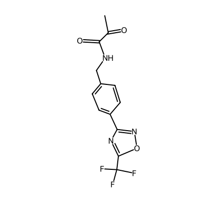 CC(=O)C(=O)NCc1ccc(-c2noc(C(F)(F)F)n2)cc1